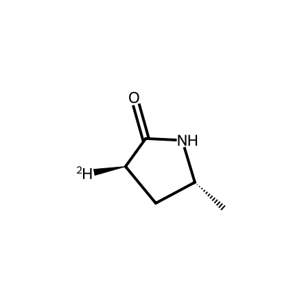 [2H][C@@H]1C[C@@H](C)NC1=O